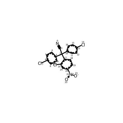 N#CC(c1ccc(Cl)cc1)(c1ccc(Cl)cc1)c1ccc([N+](=O)[O-])cc1Cl